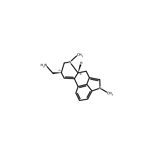 CN1C[C@H](CN)C=C2c3cccc4c3c(cn4C)C[C@H]21